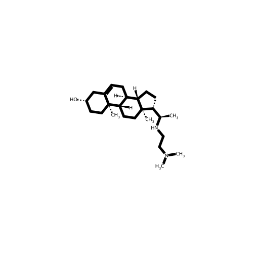 C[C@@H](NCCN(C)C)[C@H]1CC[C@H]2[C@@H]3CC=C4C[C@@H](O)CC[C@]4(C)[C@H]3CC[C@]12C